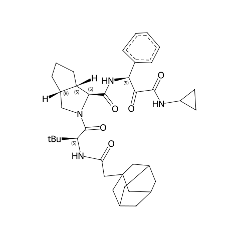 CC(C)(C)[C@H](NC(=O)CC12CC3CC(CC(C3)C1)C2)C(=O)N1C[C@@H]2CCC[C@@H]2[C@H]1C(=O)N[C@H](C(=O)C(=O)NC1CC1)c1ccccc1